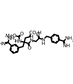 COC(=O)NC(CCC(=O)O)(Cc1cccc(C(=N)N)c1)C(=O)NCC(=O)NCc1ccc(C(=N)N)cc1